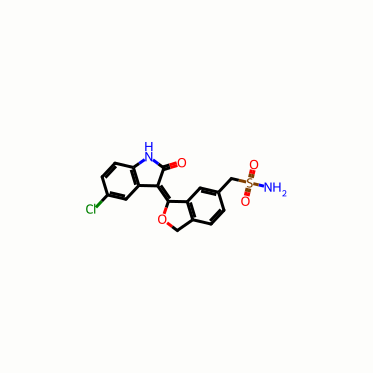 NS(=O)(=O)Cc1ccc2c(c1)C(=C1C(=O)Nc3ccc(Cl)cc31)OC2